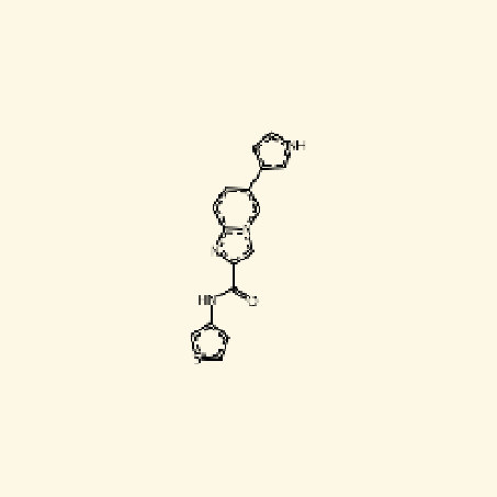 O=C(Nc1ccsc1)c1cn2cc(-c3cc[nH]c3)ccc2n1